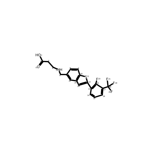 O=C(O)CCNCc1ccc2sc(-c3cccc(C(F)(F)F)c3F)cc2c1